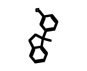 CC1(c2cccc(Cl)c2)CCc2ccccc21